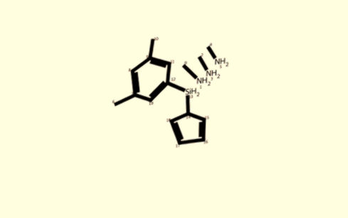 CN.CN.CN.Cc1cc(C)cc([SiH2][C]2C=CC=C2)c1